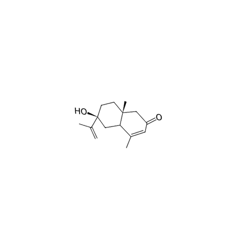 C=C(C)[C@]1(O)CC[C@]2(C)CC(=O)C=C(C)C2C1